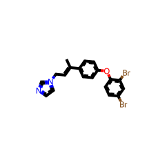 CC(=CCn1ccnc1)c1ccc(Oc2ccc(Br)cc2Br)cc1